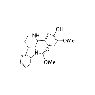 COC(=O)n1c2c(c3ccccc31)CCNC2c1ccc(OC)c(O)c1